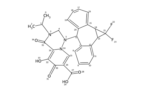 CC(C)N1CN(C2c3ccccc3C3C(c4ccccc42)C3(F)F)n2cc(C(=O)O)c(=O)c(O)c2C1=O